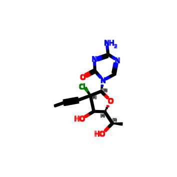 CC#C[C@@]1(Cl)C(O)[C@@H]([C@@H](C)O)O[C@H]1n1cnc(N)nc1=O